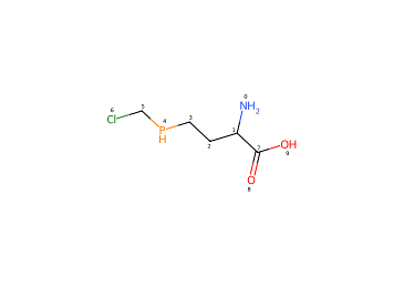 NC(CCPCCl)C(=O)O